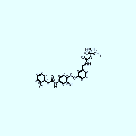 CC(C)(C)OC(=O)NCc1cccc(OCc2ccc(NC(=O)Cc3ccccc3Cl)cc2Br)c1